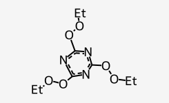 CCOOc1nc(OOCC)nc(OOCC)n1